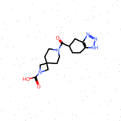 O=C(O)N1CC2(CCN(C(=O)C3CCc4[nH]nnc4C3)CC2)C1